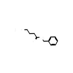 CC[CH]CC(=O)OCc1ccccc1